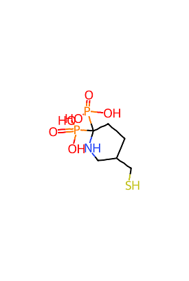 O=P(O)(O)C1(P(=O)(O)O)CCC(CS)CN1